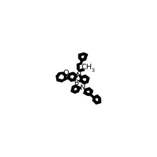 C/C=C(\C=C/Cc1ccccc1)N1c2cc3c(cc2B2c4ccccc4N(c4ccc(-c5ccccc5)cc4)c4cccc1c42)C1C=CC=CC(=C1)O3